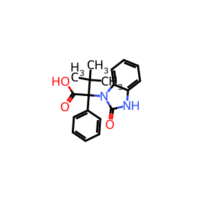 CC(C)(C)C(C(=O)O)(c1ccccc1)n1c(=O)[nH]c2ccccc21